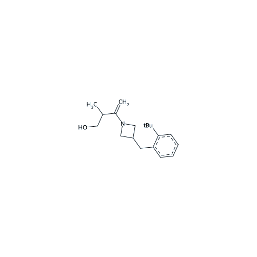 C=C(C(C)CO)N1CC(Cc2ccccc2C(C)(C)C)C1